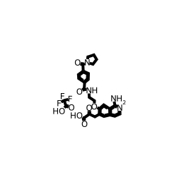 Nc1nccc2cc(CC(=O)C(=O)O)c(OCCNC(=O)c3ccc(C(=O)N4CCCC4)cc3)cc12.O=C(O)C(F)(F)F